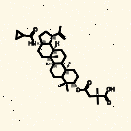 C=C(C)[C@@H]1CC[C@]2(NC(=O)C3CC3)CC[C@]3(C)[C@H](CCC4[C@@]5(C)CC[C@H](OC(=O)CC(C)(C)C(=O)O)C(C)(C)C5CC[C@]43C)C12